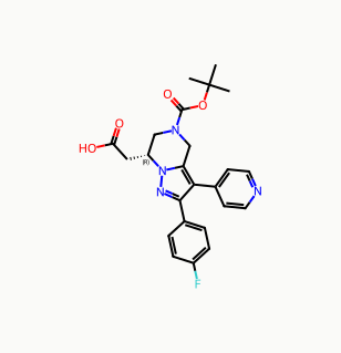 CC(C)(C)OC(=O)N1Cc2c(-c3ccncc3)c(-c3ccc(F)cc3)nn2[C@H](CC(=O)O)C1